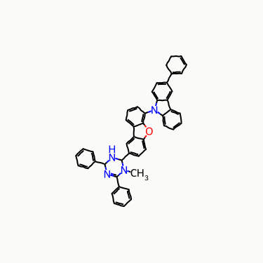 CN1C(c2ccccc2)=NC(c2ccccc2)NC1c1ccc2oc3c(-n4c5ccccc5c5cc(C6=CC=CCC6)ccc54)cccc3c2c1